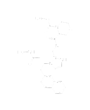 CC(C)(C)OC(=O)N1CCOCC1C(=O)NCN1NC=CN1[C@@H](CC(=O)NO)Cc1ccc2ccccc2c1